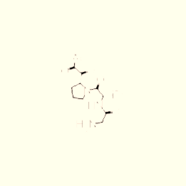 CC(=O)C(=O)C(=O)[C@@H]1CCCN1C(=O)[C@@H](NC(=O)[C@H](C)N)C(C)C